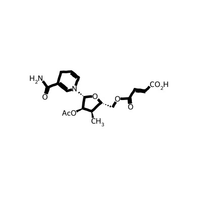 CC(=O)O[C@@H]1[C@H](C)[C@@H](COC(=O)/C=C/C(=O)O)O[C@H]1N1C=CCC(C(N)=O)=C1